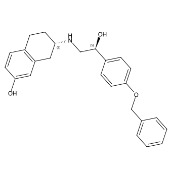 Oc1ccc2c(c1)C[C@@H](NC[C@@H](O)c1ccc(OCc3ccccc3)cc1)CC2